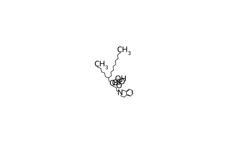 CCCCCCCCCCC(CCCCCC)COCC(CN1CCc2ccccc2C1)OS(=O)(=O)O